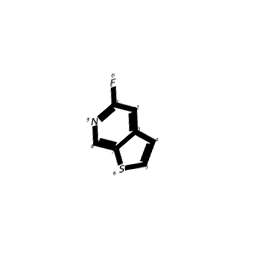 Fc1cc2ccsc2cn1